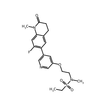 CCS(=O)(=O)N(C)CCOc1cncc(-c2cc3c(cc2F)N(C)C(=O)CC3)c1